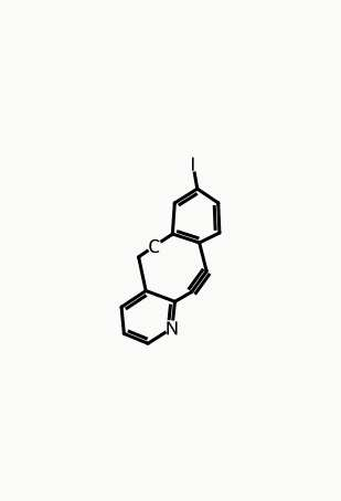 Ic1ccc2c(c1)CCc1cccnc1C#C2